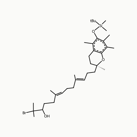 C/C(=C\CC[C@@]1(C)CCc2c(C)c(O[Si](C)(C)C(C)(C)C)c(C)c(C)c2O1)CC/C=C(\C)CCC(O)C(C)(C)Br